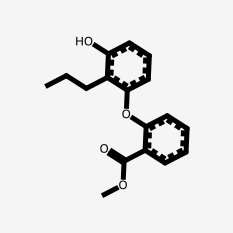 CCCc1c(O)cccc1Oc1ccccc1C(=O)OC